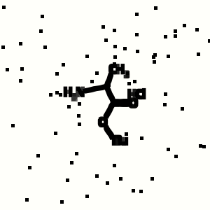 CCC(C)OC(=O)C(C)N.Cl